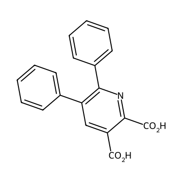 O=C(O)c1cc(-c2ccccc2)c(-c2ccccc2)nc1C(=O)O